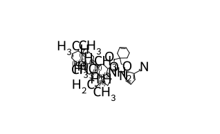 C=C(C)[C@@H]1CC[C@@]2(N)C(OC(=O)C3(COc4ncccc4C#N)CC=CCC3)C[C@]3(C)[C@H](CC[C@@H]4[C@@H]5[C@@H](CC[C@]43C)C(C)(C)C=C[C@@H]5C)[C@@H]12